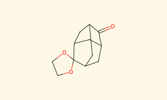 O=C1C2CC3CC1CC(C2)C31OCCO1